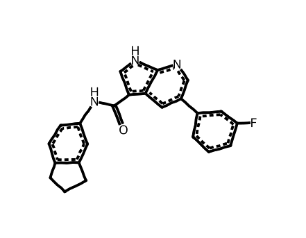 O=C(Nc1ccc2c(c1)CCC2)c1c[nH]c2ncc(-c3cccc(F)c3)cc12